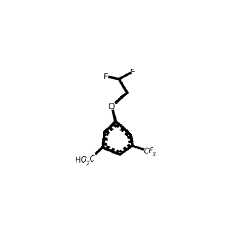 O=C(O)c1cc(OCC(F)F)cc(C(F)(F)F)c1